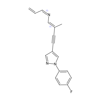 C=C/C=N\C=C(/C)C#Cc1cnn(-c2ccc(F)cc2)c1